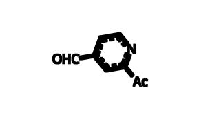 CC(=O)c1cc(C=O)ccn1